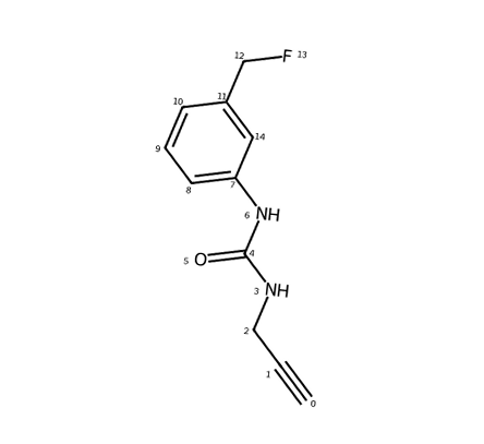 C#CCNC(=O)Nc1cccc(CF)c1